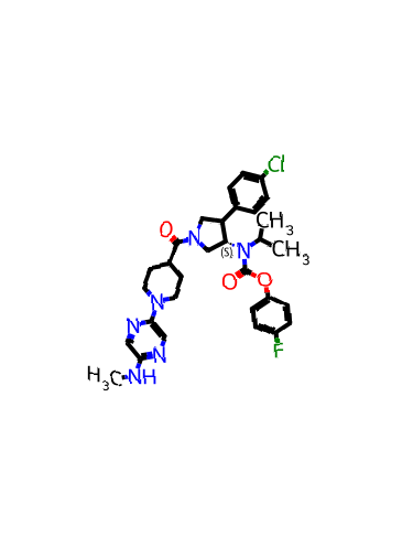 CNc1cnc(N2CCC(C(=O)N3CC(c4ccc(Cl)cc4)[C@H](N(C(=O)Oc4ccc(F)cc4)C(C)C)C3)CC2)cn1